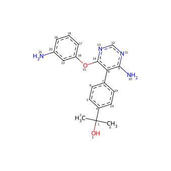 CC(C)(O)c1ccc(-c2c(N)ncnc2Oc2cccc(N)c2)cc1